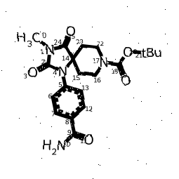 CN1C(=O)N(c2ccc(C(N)=O)cc2)C2(CCN(C(=O)OC(C)(C)C)CC2)C1=O